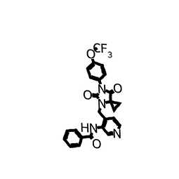 O=C(Nc1cnccc1CN1C(=O)N(c2ccc(OC(F)(F)F)cc2)C(=O)C12CC2)c1ccccc1